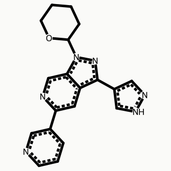 c1cncc(-c2cc3c(-c4cn[nH]c4)nn(C4CCCCO4)c3cn2)c1